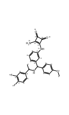 COc1ccc(C(NC(C)c2ccc(F)c(F)c2)c2cccc(Nc3c(N)c(=O)c3=O)c2)cc1